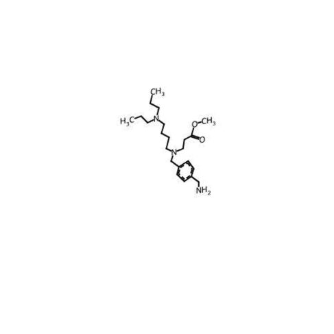 CCCN(CCC)CCCCN(CCC(=O)OC)Cc1ccc(CN)cc1